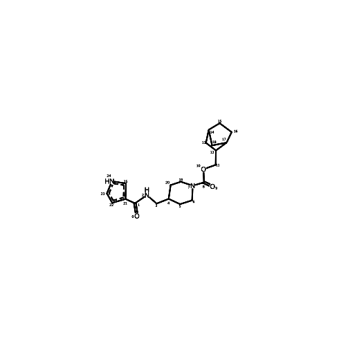 O=C(NCC1CCN(C(=O)OCC2CC3CCC2C3)CC1)c1cc[nH]c1